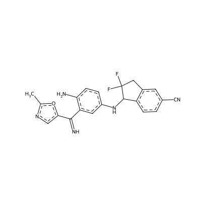 Cc1ncc(C(=N)c2cc(NC3c4ccc(C#N)cc4CC3(F)F)ccc2N)o1